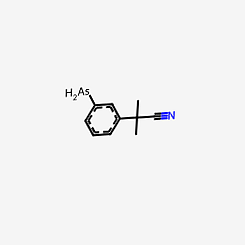 CC(C)(C#N)c1cccc([AsH2])c1